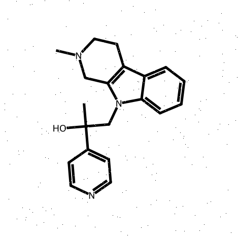 CN1CCc2c(n(CC(C)(O)c3ccncc3)c3ccccc23)C1